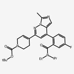 CCN(C(=O)c1cc(F)ccc1-c1cc(C2=CCN(C(=O)OC(C)(C)C)CC2)nn2c(C)ncc12)C(C)C